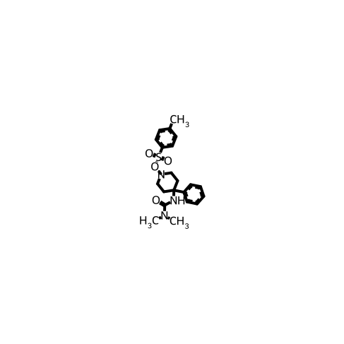 Cc1ccc(S(=O)(=O)ON2CCC(NC(=O)N(C)C)(c3ccccc3)CC2)cc1